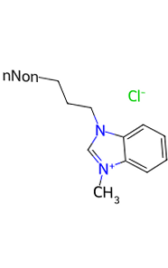 CCCCCCCCCCCCn1c[n+](C)c2ccccc21.[Cl-]